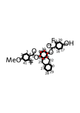 COc1ccc(C(=O)Oc2ccc(OC(=O)c3ccc(O)cc3F)c3c2C2c4ccccc4C3c3ccccc32)c(F)c1